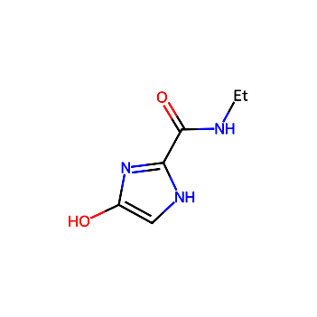 CCNC(=O)c1nc(O)c[nH]1